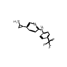 NC1CC1c1ccc(Nc2ccc(C(F)(F)F)cc2)nc1